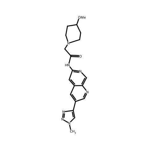 COC1CCN(CC(=O)Nc2cc3cc(-c4cn(C)nn4)cnc3cn2)CC1